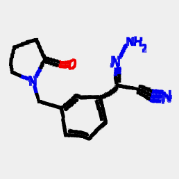 N#CC(=NN)c1cccc(CN2CCCC2=O)c1